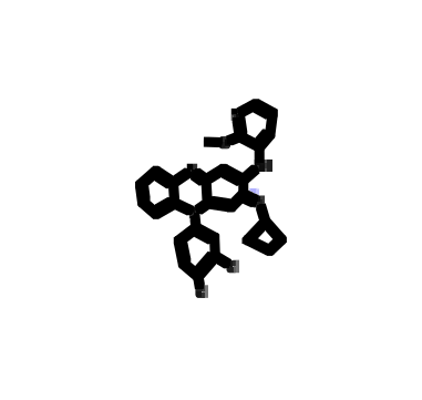 COc1ncccc1Nc1cc2nc3ccccc3n(-c3ccc(Cl)c(Cl)c3)c-2c/c1=N\C1CCC1